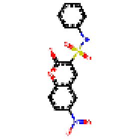 O=c1oc2ccc([N+](=O)[O-])cc2cc1S(=O)(=O)Nc1ccccc1